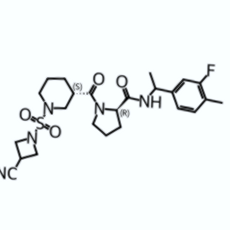 Cc1ccc(C(C)NC(=O)[C@H]2CCCN2C(=O)[C@H]2CCCN(S(=O)(=O)N3CC(C#N)C3)C2)cc1F